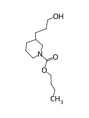 CCCCOC(=O)N1CCCC(CCCO)C1